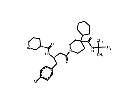 CC(C)(C)NC(=O)C1(C2CCCCC2)CCN(C(=O)C[C@@H](Cc2ccc(Cl)cc2)NC(=O)[C@@H]2CCCNC2)CC1